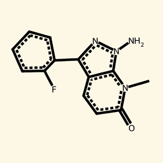 Cn1c(=O)ccc2c(-c3ccccc3F)nn(N)c21